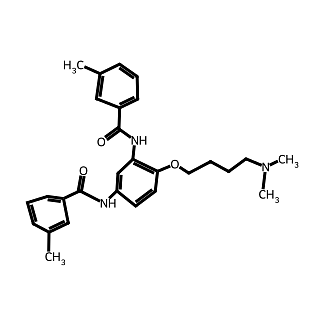 Cc1cccc(C(=O)Nc2ccc(OCCCCN(C)C)c(NC(=O)c3cccc(C)c3)c2)c1